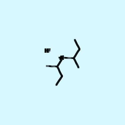 CC[CH](C)[Al][CH](C)CC.F